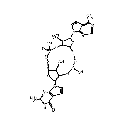 Nc1nc2c(ccn2C2OC3COP(=O)(S)OC4C(COP(S)OC2C3O)OC(n2ccc3c(N)ncnc32)C4O)c(=O)[nH]1